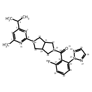 Cc1cc(C(C)C)nc(N2CC3CN(C(=O)c4c(F)cccc4-n4nccn4)CC3C2)n1